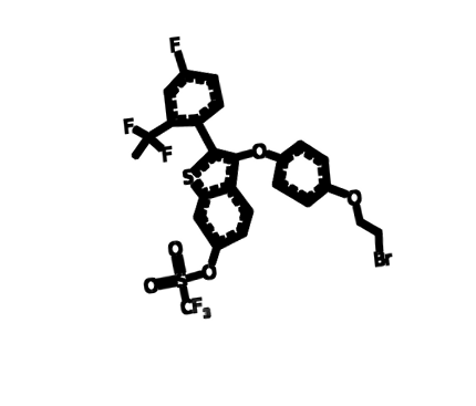 CC(F)(F)c1cc(F)ccc1-c1sc2cc(OS(=O)(=O)C(F)(F)F)ccc2c1Oc1ccc(OCCBr)cc1